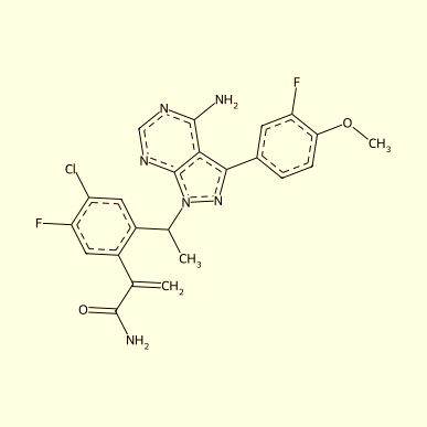 C=C(C(N)=O)c1cc(F)c(Cl)cc1C(C)n1nc(-c2ccc(OC)c(F)c2)c2c(N)ncnc21